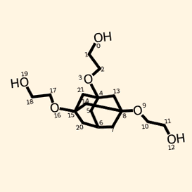 OCCOC12CC3CC(OCCO)(C1)CC(OCCO)(C3)C2